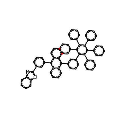 c1ccc(-c2c(-c3ccccc3)c(-c3ccccc3)c(-c3cccc(-c4c5ccccc5c(-c5cccc(-c6nc7ccccc7o6)c5)c5ccccc45)c3)c(-c3ccccc3)c2-c2ccccc2)cc1